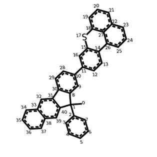 CC1(c2ccccc2)c2cc(-c3ccc4c(c3)Sc3cccc5cccc-4c35)ccc2-c2cc3ccccc3cc21